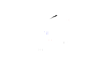 CC(C)(C)OC=O.OC[C@@H]1CCCN1